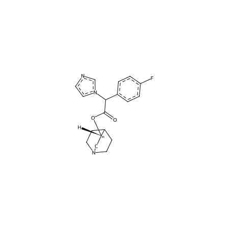 O=C(O[C@H]1CN2CCC1CC2)C(c1ccc(F)cc1)n1ccnc1